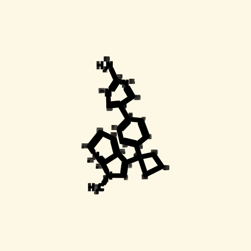 Cn1cc(C2(c3ccc(-c4cnc(N)nc4)cc3)CCC2)c2cccnc21